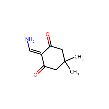 CC1(C)CC(=O)C(=CN)C(=O)C1